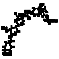 CCOc1cc(-c2ncc(NC(=O)Nc3ccc(C4(CO[Si](C)(C)C(C)(C)C)CC4)c(C(F)(F)F)c3)c(C)n2)cnc1OCc1ccc(OC)cc1